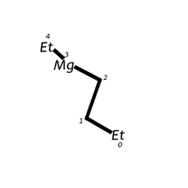 [CH2]CC[CH2][Mg][CH2]C